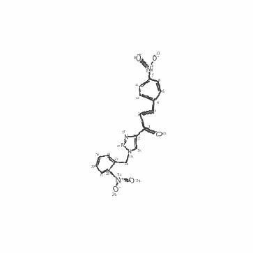 O=C(C=Cc1ccc([N+](=O)[O-])cc1)c1cn(Cc2ccccc2[N+](=O)[O-])nn1